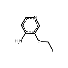 Nc1ccncc1OCI